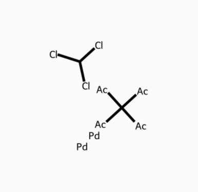 CC(=O)C(C(C)=O)(C(C)=O)C(C)=O.ClC(Cl)Cl.[Pd].[Pd]